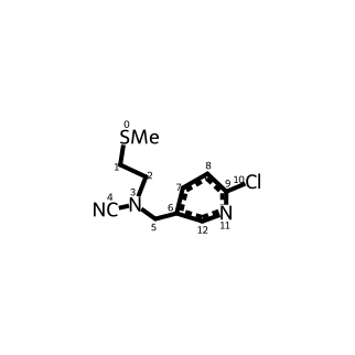 CSCCN(C#N)Cc1ccc(Cl)nc1